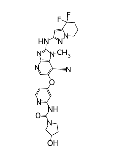 Cn1c(Nc2cc3n(n2)CCCC3(F)F)nc2ncc(Oc3ccnc(NC(=O)N4CCC(O)C4)c3)c(C#N)c21